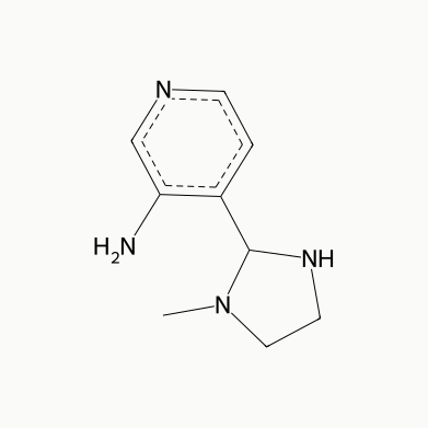 CN1CCNC1c1ccncc1N